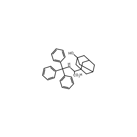 O=C(O)C(NC(c1ccccc1)(c1ccccc1)c1ccccc1)C12CC3CC(CC(O)(C3)C1)C2